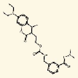 CCN(CC)c1ccc2c(c1)OC(=O)C(CCOC(=O)NCc1cccc(C(=O)ON(C)C)c1)C2C